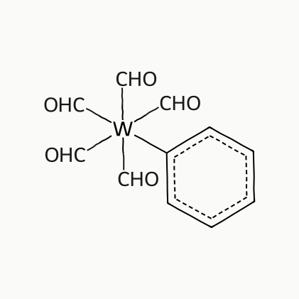 O=[CH][W]([CH]=O)([CH]=O)([CH]=O)([CH]=O)[c]1ccccc1